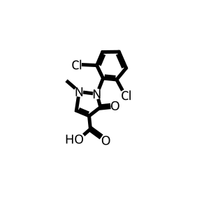 Cn1cc(C(=O)O)c(=O)n1-c1c(Cl)cccc1Cl